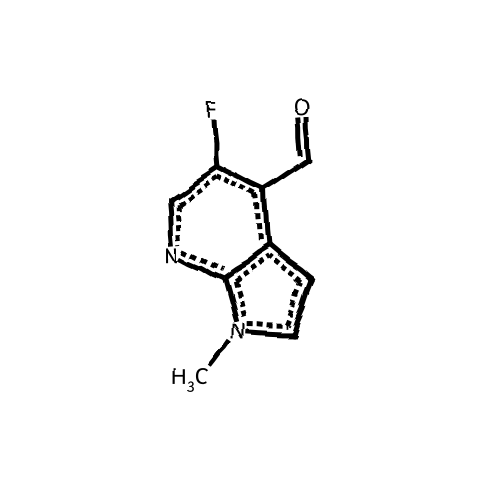 Cn1ccc2c(C=O)c(F)cnc21